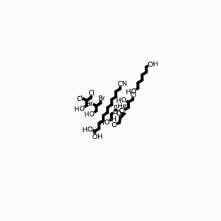 CCCCCCOCCO.N#CCCCCCCCCCCCC(O)O.OC(CCl)CCl.OCC(Br)CBr.OCC(Cl)CCl.OCC1CO1.OCCCCCCO